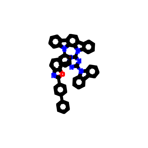 c1ccc(-c2ccc(-c3nc4cccc(-c5nc(-n6c7ccccc7c7ccccc76)nc(-n6c7ccccc7c7ccc8c9ccccc9n(-c9ccccc9)c8c76)n5)c4o3)cc2)cc1